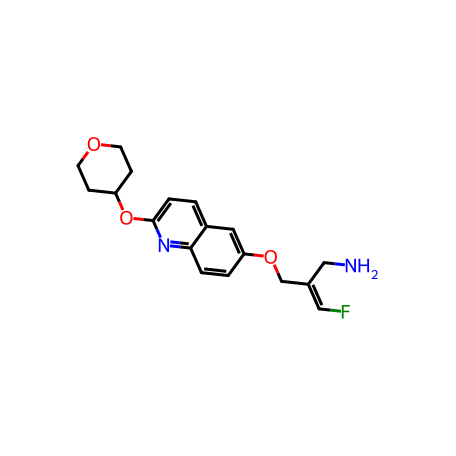 NC/C(=C\F)COc1ccc2nc(OC3CCOCC3)ccc2c1